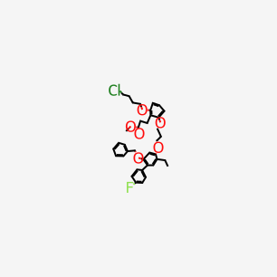 CCc1cc(-c2ccc(F)cc2)c(OCc2ccccc2)cc1OCCCOc1cccc(OCCCCCl)c1CCC(=O)OC